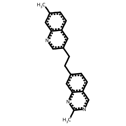 Cc1ccc2cc(CCc3ccc4cnc(C)nc4c3)cnc2c1